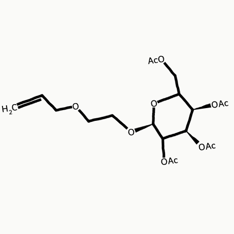 C=CCOCCO[C@H]1OC(COC(C)=O)[C@@H](OC(C)=O)[C@@H](OC(C)=O)C1OC(C)=O